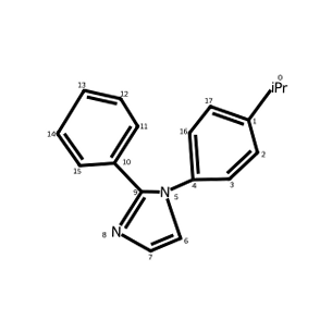 CC(C)c1ccc(-n2ccnc2-c2ccccc2)cc1